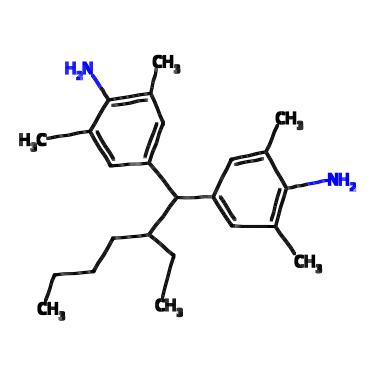 CCCCC(CC)C(c1cc(C)c(N)c(C)c1)c1cc(C)c(N)c(C)c1